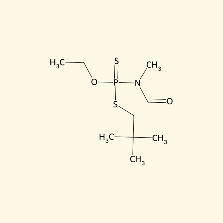 CCOP(=S)(SCC(C)(C)C)N(C)C=O